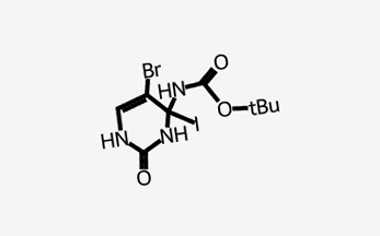 CC(C)(C)OC(=O)NC1(I)NC(=O)NC=C1Br